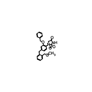 COCc1ccccc1Cc1ccc(N2CC(=O)NS2(=O)=O)c(OCc2ccccc2)c1